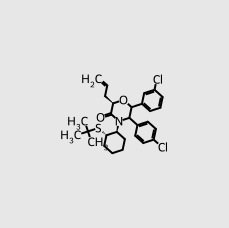 C=CC[C@H]1OC(c2cccc(Cl)c2)C(c2ccc(Cl)cc2)N([C@H]2CCCC[C@@H]2SC(C)(C)C)C1=O